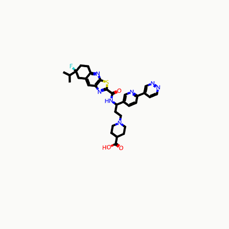 CC(C)C1(F)CCc2nc3sc(C(=O)NC(CCN4CCC(C(=O)O)CC4)c4ccc(-c5ccnnc5)nc4)nc3cc2C1